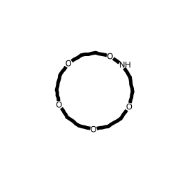 C1COCCOCCOCCOCCON1